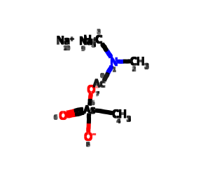 CC(=O)N(C)C.C[As](=O)([O-])[O-].[Na+].[Na+]